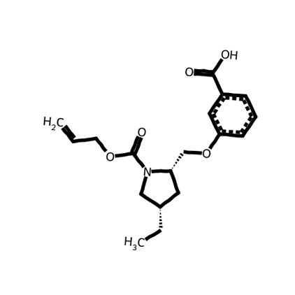 C=CCOC(=O)N1C[C@@H](CC)C[C@H]1COc1cccc(C(=O)O)c1